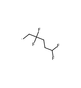 [CH2]CC(F)(F)CCC(F)F